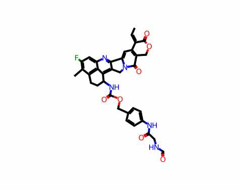 C/C=C1\C(=O)OCc2c1cc1n(c2=O)Cc2c-1nc1cc(F)c(C)c3c1c2C(NC(=O)OCc1ccc(NC(=O)CNC=O)cc1)CC3